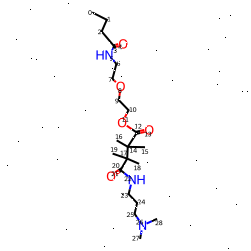 CCCC(=O)NCCOCCOC(=O)C(C)(C)C(C)(C)C(=O)NCCCN(C)C